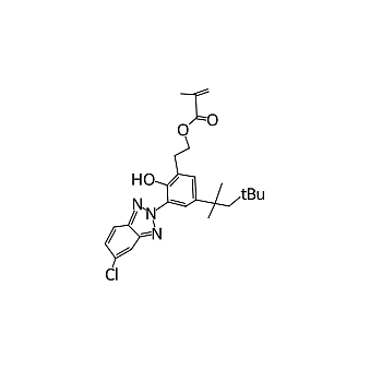 C=C(C)C(=O)OCCc1cc(C(C)(C)CC(C)(C)C)cc(-n2nc3ccc(Cl)cc3n2)c1O